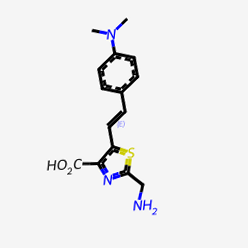 CN(C)c1ccc(/C=C/c2sc(CN)nc2C(=O)O)cc1